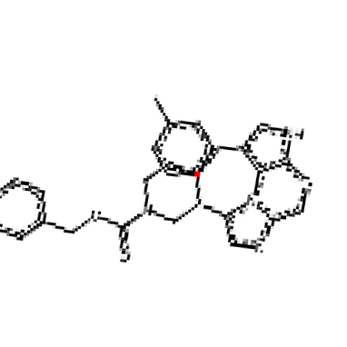 Cc1cccc(-c2c[nH]c3ncc4ncc(C5CN(C(=O)OCc6ccccc6)CCC5C)n4c23)c1